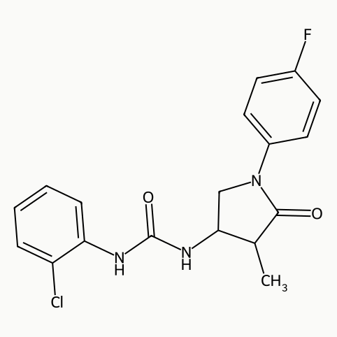 CC1C(=O)N(c2ccc(F)cc2)CC1NC(=O)Nc1ccccc1Cl